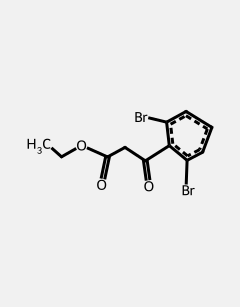 CCOC(=O)CC(=O)c1c(Br)cccc1Br